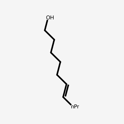 CCC/C=C/CCCCCO